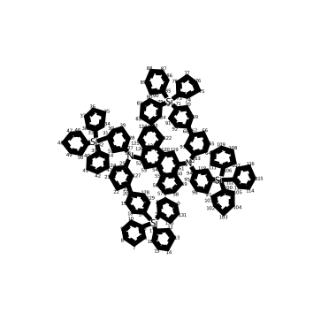 c1ccc([Si](c2ccccc2)(c2ccccc2)c2ccc(-c3cccc(N(c4cccc([Si](c5ccccc5)(c5ccccc5)c5ccccc5)c4)c4cc5c6ccccc6c(N(c6cccc(-c7ccc([Si](c8ccccc8)(c8ccccc8)c8ccccc8)cc7)c6)c6cccc([Si](c7ccccc7)(c7ccccc7)c7ccccc7)c6)cc5c5ccccc45)c3)cc2)cc1